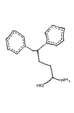 NC(O)CCC(c1ccccc1)c1ccccc1